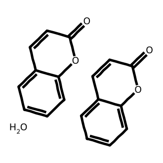 O.O=c1ccc2ccccc2o1.O=c1ccc2ccccc2o1